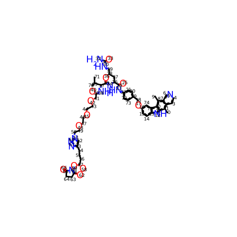 Cc1c2ccncc2c(C)c2c1[nH]c1ccc(OCc3ccc(NC(=O)C(CCCNC(N)=O)NC(=O)C(NC(=O)COCCOCCOCCn4cc(CCCC(=O)ON5C(=O)CCC5=O)nn4)C(C)C)cc3)cc12